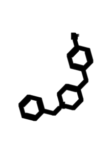 Brc1ccc(CC2=CCN(Cc3ccccc3)CC2)cc1